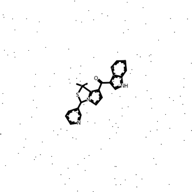 CC1(C)SC(c2cccnc2)n2ccc(C(=O)c3c[nH]c4ccccc34)c21